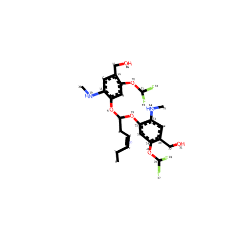 CC/C=C\CC(Oc1cc(OC(F)F)c(CO)cc1NC)Oc1cc(OC(F)F)c(CO)cc1NC